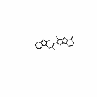 C=C1CC=Cc2c1sc1c(C)c(/C=C(\C)Sc3c(C)sc4ccccc34)sc21